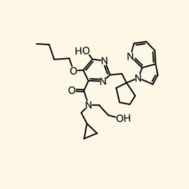 CCCCOc1c(O)nc(CC2(n3ccc4cccnc43)CCCC2)nc1C(=O)N(CCO)CC1CC1